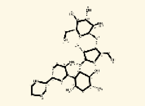 NC[C@@H]1O[C@H](O[C@H]2[C@@H](O)[C@H](O[C@H]3C([C@H]4O[C@H]([C@@H]5COCCN5)CC[C@H]4N)[C@@H](N)C[C@@H](N)[C@@H]3O)O[C@@H]2CO)[C@H](N)[C@@H](O)[C@@H]1O